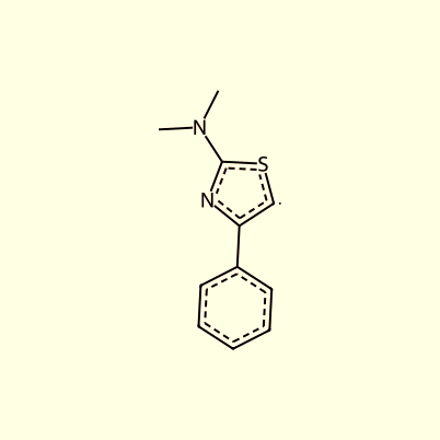 CN(C)c1nc(-c2ccccc2)[c]s1